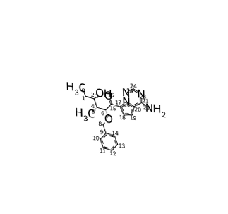 CC[C@@H](O)[C@@H](C)[C@@H](OCc1ccccc1)C(=O)c1ccc2c(N)ncnn12